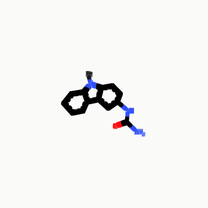 CCn1c2ccccc2c2cc(NC(N)=O)ccc21